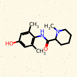 Cc1cc(O)cc(C)c1NC(=O)C1CCCCN1C